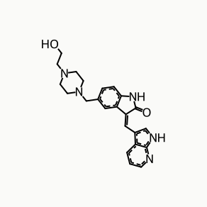 O=C1Nc2ccc(CN3CCN(CCO)CC3)cc2C1=Cc1c[nH]c2ncccc12